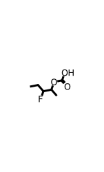 CCC(F)C(C)OC(=O)O